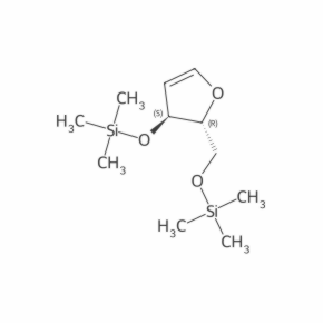 C[Si](C)(C)OC[C@H]1OC=C[C@@H]1O[Si](C)(C)C